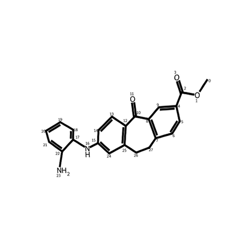 COC(=O)c1ccc2c(c1)C(=O)c1ccc(Nc3ccccc3N)cc1CC2